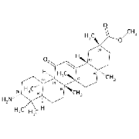 COC(=O)[C@]1(C)CC[C@@]2(C)CC[C@@]3(C)C(=CC(=O)[C@@H]4[C@]5(C)CC[C@@H](N)C(C)(C)[C@@H]5CC[C@]43C)[C@@H]2C1